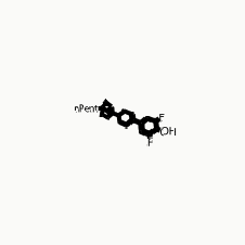 CCCCCC12CCC(C3CCC(C4CC(F)C(O)C(F)C4)CC3)=C(C1)C2